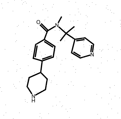 CN(C(=O)c1ccc(C2CCNCC2)cc1)C(C)(C)c1ccncc1